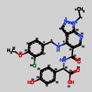 CCn1ncc2c(NCc3ccc(OC)c(Cl)c3)c(C(=O)N[C@H](C(=O)O)c3ccc(O)cc3)cnc21